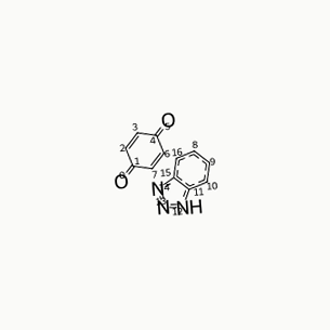 O=C1C=CC(=O)C=C1.c1ccc2[nH]nnc2c1